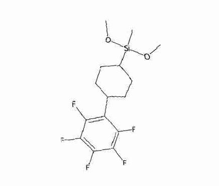 CO[Si](C)(OC)C1CCC(c2c(F)c(F)c(F)c(F)c2F)CC1